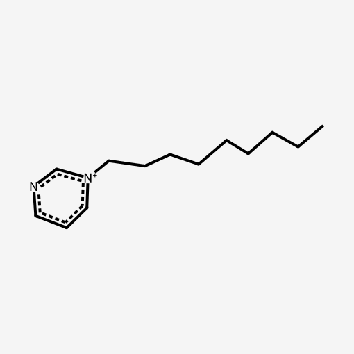 CCCCCCCCC[n+]1cccnc1